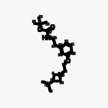 CN(C)C1CN(CCOc2cccc(CCNC(=O)OC(C)(C)C)c2)C1